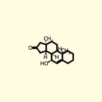 C[C@]12CC[C@H]3[C@@H]([C@H](O)C=C4CCCC[C@@]43C)[C@@H]1CC(=O)C2